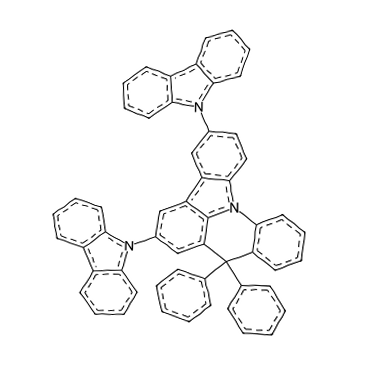 c1ccc(C2(c3ccccc3)c3ccccc3-n3c4ccc(-n5c6ccccc6c6ccccc65)cc4c4cc(-n5c6ccccc6c6ccccc65)cc2c43)cc1